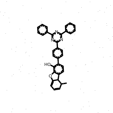 CC1C=CC=C2Oc3c(ccc(-c4ccc(-c5nc(-c6ccccc6)nc(-c6ccccc6)n5)cc4)c3O)C21